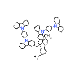 Cc1ccc2c(c1)C(Cc1ccc3c(c1)c1ccccc1n3-c1ccc(-n3c4ccccc4c4ccccc43)cc1)(Cc1ccc3c(c1)c1ccccc1n3-c1ccc(-n3c4ccccc4c4ccccc43)cc1)c1cc(C)ccc1-2